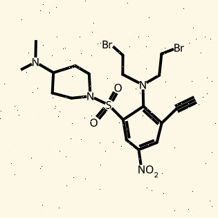 C#Cc1cc([N+](=O)[O-])cc(S(=O)(=O)N2CCC(N(C)C)CC2)c1N(CCBr)CCBr